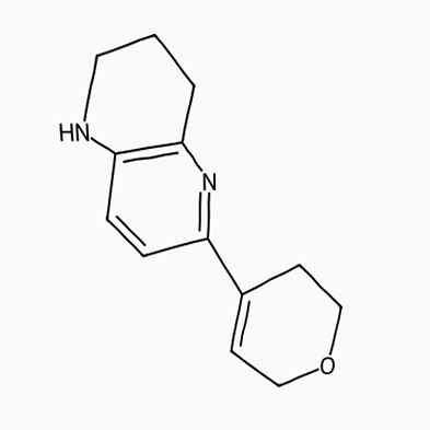 C1=C(c2ccc3c(n2)CCCN3)CCOC1